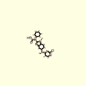 CN(c1ccc2c(c1)nc(N(C(=O)O)c1ccccc1)n2C)c1ccnc(Cl)n1